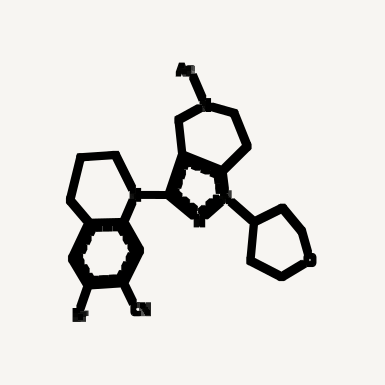 CC(=O)N1CCc2c(c(N3CCCc4cc(Br)c(C#N)cc43)nn2C2CCOCC2)C1